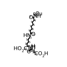 CCCCNC(=O)CCCCCCC(=O)NCCCCC(NC(=O)NCC(=O)O)C(=O)O